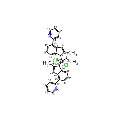 C[CH2][Zr]([Cl])([Cl])([CH]1C(C)=Cc2c(-c3ccccn3)cccc21)[CH]1C(C)=Cc2c(-c3ccccn3)cccc21